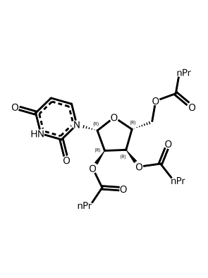 CCCC(=O)OC[C@H]1O[C@@H](n2ccc(=O)[nH]c2=O)[C@H](OC(=O)CCC)[C@@H]1OC(=O)CCC